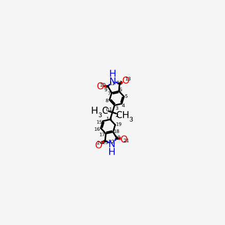 CC(C)(c1ccc2c(c1)C(=O)NC2=O)C1C=CC2=C(C1)C(=O)NC2=O